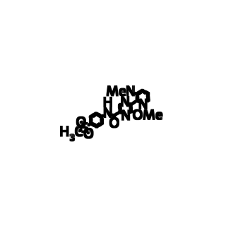 CNc1cccnc1-c1ncc(C(=O)Nc2ccc(S(C)(=O)=O)cc2)nc1OC